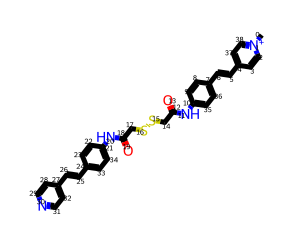 C[n+]1ccc(/C=C/c2ccc(NC(=O)CSSCC(=O)Nc3ccc(/C=C/c4ccncc4)cc3)cc2)cc1